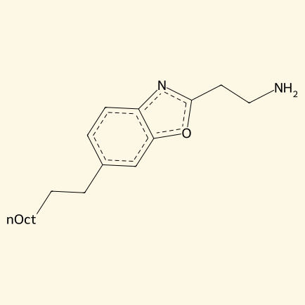 CCCCCCCCCCc1ccc2nc(CCN)oc2c1